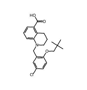 CC(C)(C)COc1ccc(Cl)cc1CN1CCCc2c(C(=O)O)cccc21